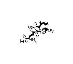 CCCC(C)C(C=O)N(CC(=O)O)C(=O)[C@@H](CS)NC(=O)CCC(N)C(=O)O